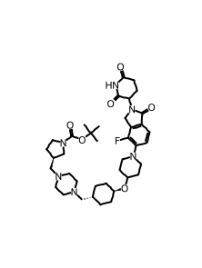 CC(C)(C)OC(=O)N1CC[C@H](CN2CCN(C[C@H]3CC[C@H](OC4CCN(c5ccc6c(c5F)CN(C5CCC(=O)NC5=O)C6=O)CC4)CC3)CC2)C1